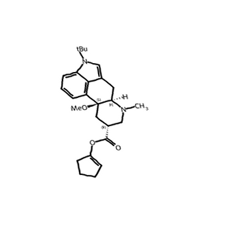 CO[C@]12C[C@@H](C(=O)OC3=CCCC3)CN(C)[C@@H]1Cc1cn(C(C)(C)C)c3cccc2c13